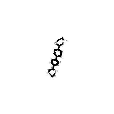 c1cc(C2CSCCS2)ccc1-c1ccc(C2CSCCS2)cc1